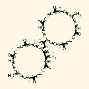 CC1NC(=O)COCC(=O)NCCN(C)CCNC(=O)COCC(=O)NCCN(CC(C)N2CCNC(=O)COCC(=O)NCCN(C)CCNC(=O)COCC(=O)NCC2)C1C